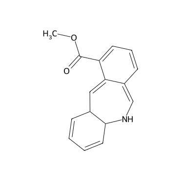 COC(=O)c1cccc2c1=CC1C=CC=CC1NC=2